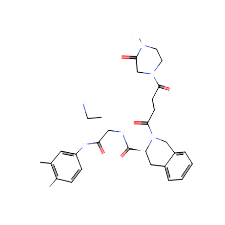 Cc1cc(NC(=O)[C@H](CCN)NC(=O)[C@@H]2Cc3ccccc3CN2C(=O)CCC(=O)N2CCN(C)C(=O)C2)ccc1Cl